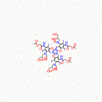 CC(=O)OCC(=O)Nc1c(I)c(Oc2nc(Oc3c(I)c(NC(=O)COC(C)=O)c(I)c(N(C=O)CC(O)CO)c3I)nc(Oc3c(I)c(NC(=O)COC(C)=O)c(I)c(N(C=O)CC(O)CO)c3I)n2)c(I)c(N(C=O)CC(O)CO)c1I